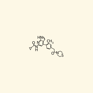 Cc1cc(CC(=O)N2CCSCC2)ccc1-c1cc(NC(=O)C2CC2)nc2[nH]ccc12